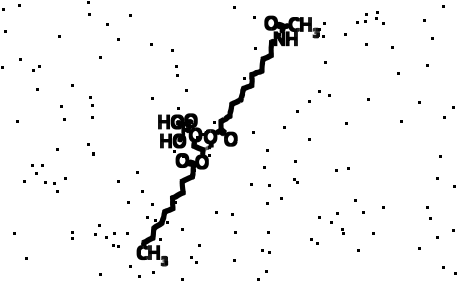 CCCCCCCCCCCC(=O)O[C@@H](COC(=O)CCCCCCCCCCCNC(C)=O)COP(=O)(O)O